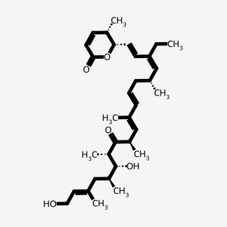 CCC(=C/[C@H](C)C/C=C/C(C)=C/[C@@H](C)C(=O)[C@@H](C)[C@H](O)[C@@H](C)C/C(C)=C/CO)/C=C/[C@@H]1OC(=O)C=C[C@@H]1C